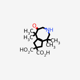 CC1(C)CNCC(=O)C(C)(C)C2=C1CC(C(=O)O)(C(=O)O)C2